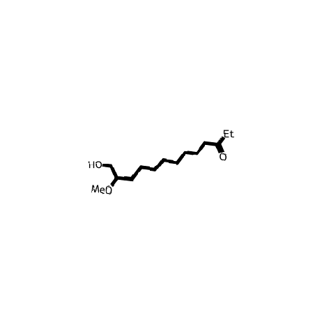 CCC(=O)CCCCCCCCC(CO)OC